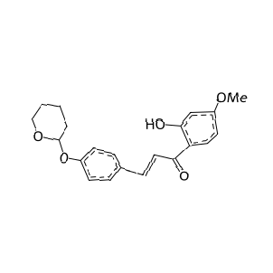 COc1ccc(C(=O)/C=C/c2ccc(OC3CCCCO3)cc2)c(O)c1